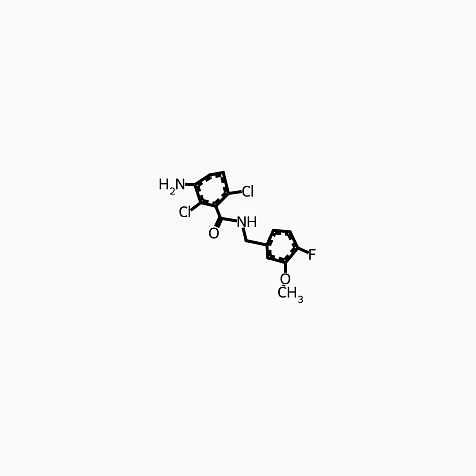 COc1cc(CNC(=O)c2c(Cl)ccc(N)c2Cl)ccc1F